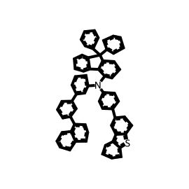 c1ccc(C2(c3ccccc3)c3ccccc3-c3c(N(c4ccc(-c5ccc6sc7ccccc7c6c5)cc4)c4cccc(-c5cccc(-c6cccc7ccccc67)c5)c4)cccc32)cc1